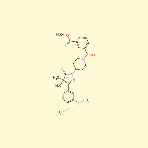 COC(=O)c1cccc(C(=O)N2CCC(N3N=C(c4ccc(OC)c(OC)c4)C(C)(C)C3=O)CC2)c1